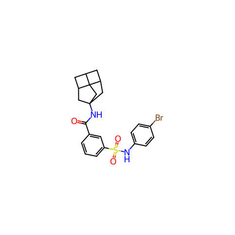 O=C(NC12CC3CC4CC(C1)C43C2)c1cccc(S(=O)(=O)Nc2ccc(Br)cc2)c1